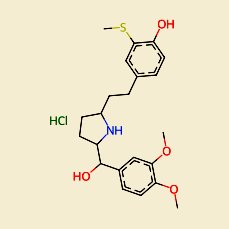 COc1ccc(C(O)C2CCC(CCc3ccc(O)c(SC)c3)N2)cc1OC.Cl